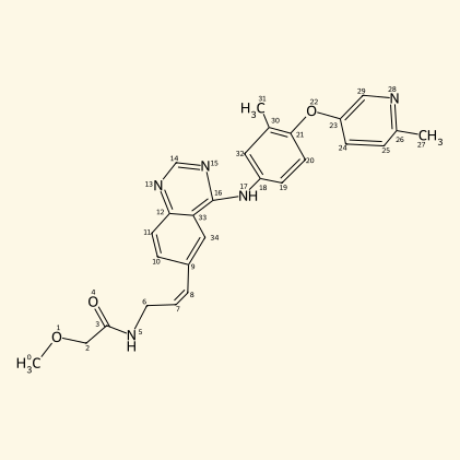 COCC(=O)NC/C=C\c1ccc2ncnc(Nc3ccc(Oc4ccc(C)nc4)c(C)c3)c2c1